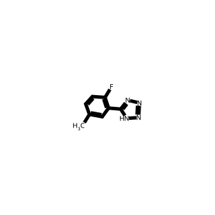 Cc1ccc(F)c(-c2nnn[nH]2)c1